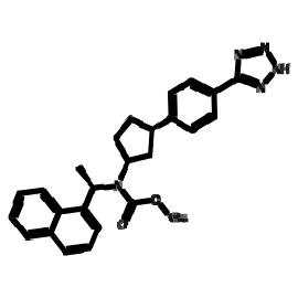 C[C@H](c1cccc2ccccc12)N(C(=O)OC(C)(C)C)[C@H]1CC[C@@H](c2ccc(-c3nn[nH]n3)cc2)C1